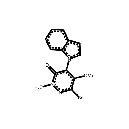 COc1c(Br)nn(C)c(=O)c1-n1ccc2ccccc21